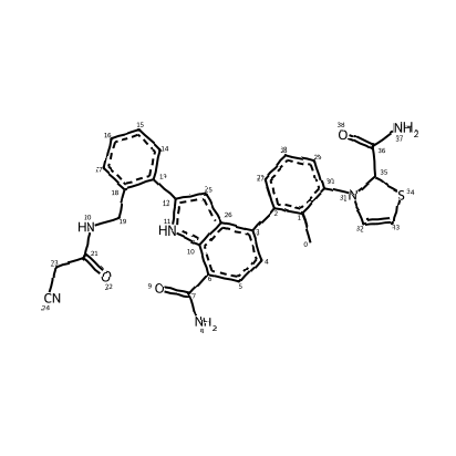 Cc1c(-c2ccc(C(N)=O)c3[nH]c(-c4ccccc4CNC(=O)CC#N)cc23)cccc1N1C=CSC1C(N)=O